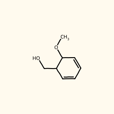 COC1C=CC=CC1CO